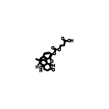 CN1CC[C@@]23c4c5ccc(OC(=O)OCCC(=O)O)c4O[C@@H]2C(=O)CC[C@]3(O)[C@@H]1C5